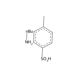 CCCCN.Cc1ccc(S(=O)(=O)O)cc1